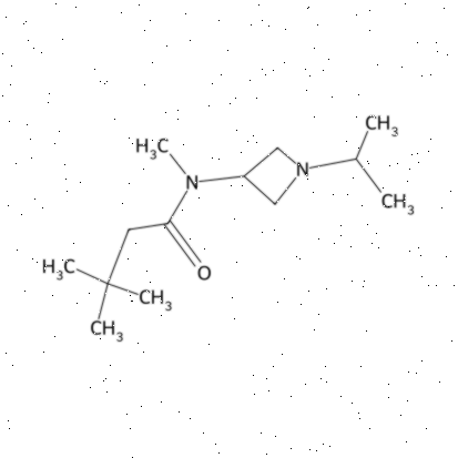 CC(C)N1CC(N(C)C(=O)CC(C)(C)C)C1